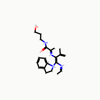 C=C(C)C(/N=C(\C)C(=O)NCCCO)=C(\N=C/C)N1CCc2ccccc21